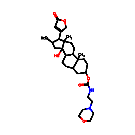 CC(=O)OC1CC2(O)C3CCC4CC(OC(=O)NCCN5CCOCC5)CCC4(C)C3CCC2(C)C1C1=CC(=O)OC1